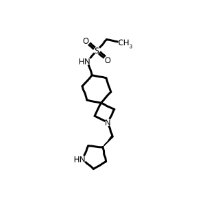 CCS(=O)(=O)NC1CCC2(CC1)CN(C[C@H]1CCNC1)C2